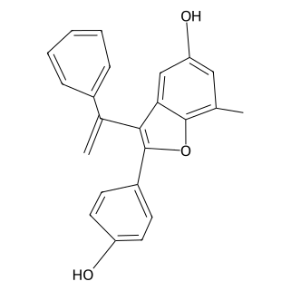 C=C(c1ccccc1)c1c(-c2ccc(O)cc2)oc2c(C)cc(O)cc12